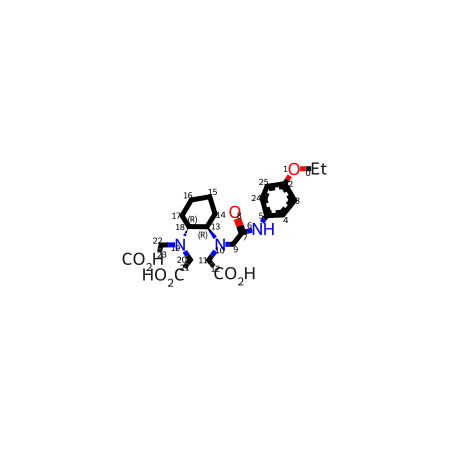 CCOc1ccc(NC(=O)CN(CC(=O)O)[C@@H]2CCCC[C@H]2N(CC(=O)O)CC(=O)O)cc1